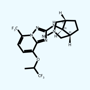 CC(Oc1ccc(C(F)(F)F)n2nc(N[C@@H]3[C@@H]4CC[C@H]3CN(C#N)C4)nc12)C(F)(F)F